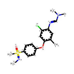 CCN(C)C=Nc1cc(C)c(Oc2ccc(S(C)(=O)=NC)cc2)cc1Cl